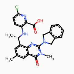 Cc1cc([C@H](C)Nc2ccc(Cl)nc2C(=O)O)c2nc(N3Cc4ccccc4C3)n(C)c(=O)c2c1